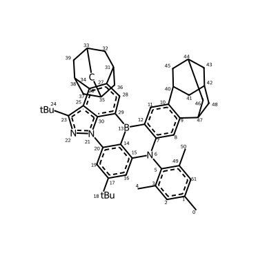 Cc1cc(C)c(N2c3cc4c(cc3B3c5c2cc(C(C)(C)C)cc5-n2nc(C(C)(C)C)c5c6c(cc3c52)C2CC3CC(C2)CC6C3)C2CC3CC(C2)CC4C3)c(C)c1